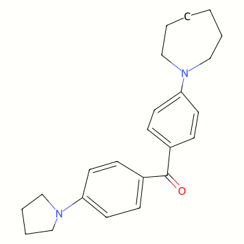 O=C(c1ccc(N2CCCCCC2)cc1)c1ccc(N2CCCC2)cc1